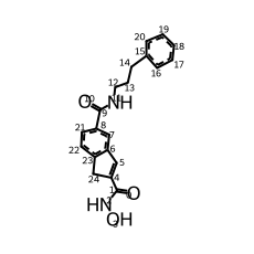 O=C(NO)C1=Cc2cc(C(=O)NCCCc3ccccc3)ccc2C1